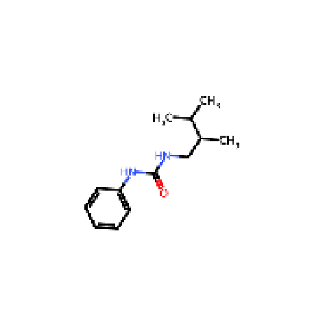 CC(C)C(C)CNC(=O)Nc1ccccc1